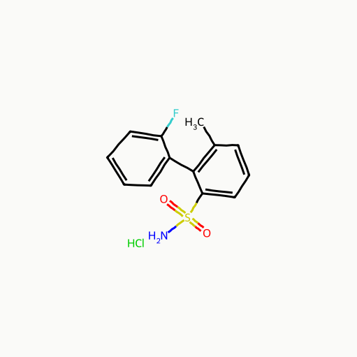 Cc1cccc(S(N)(=O)=O)c1-c1ccccc1F.Cl